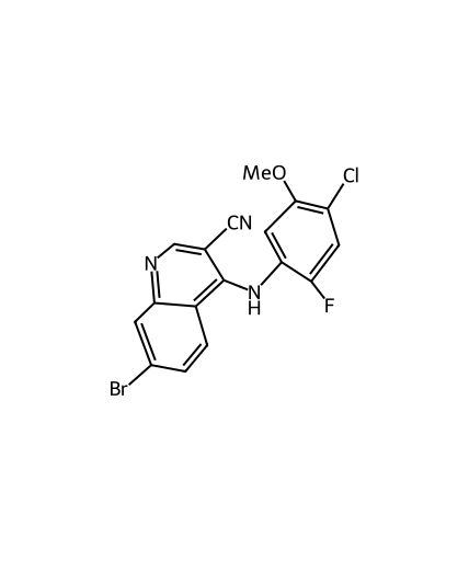 COc1cc(Nc2c(C#N)cnc3cc(Br)ccc23)c(F)cc1Cl